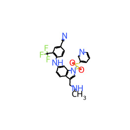 CNCc1cn(S(=O)(=O)c2cccnc2)c2cc(Nc3ccc(C#N)cc3C(F)(F)F)ccc12